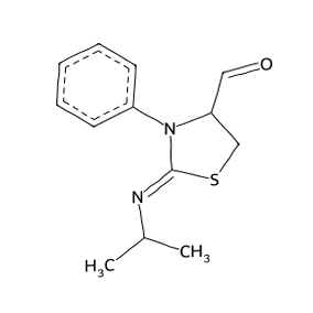 CC(C)/N=C1\SCC(C=O)N1c1ccccc1